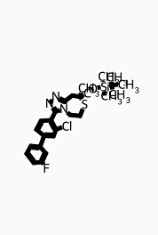 CC1(CO[Si](C)(C)C(C)(C)C)Cc2nnc(-c3ccc(-c4cccc(F)c4)cc3Cl)n2CCS1